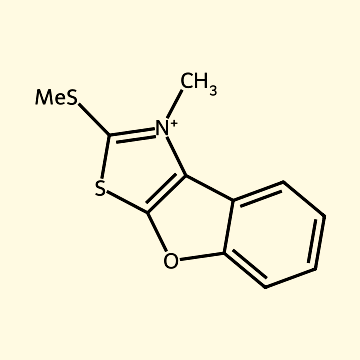 CSc1sc2oc3ccccc3c2[n+]1C